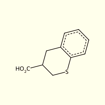 O=C(O)C1CSc2ccccc2C1